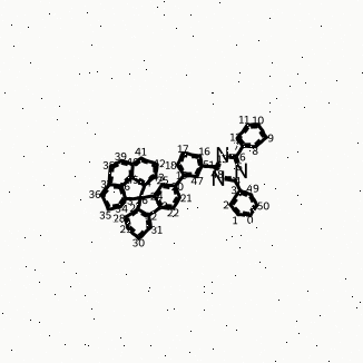 c1ccc(-c2nc(-c3ccccc3)nc(-c3cccc(-c4ccc5c(c4)C4(c6ccccc6-5)c5cccc6ccc7cccc4c7c56)c3)n2)cc1